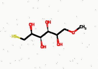 COC[C@@H](O)[C@@H](O)[C@H](O)[C@H](O)CS